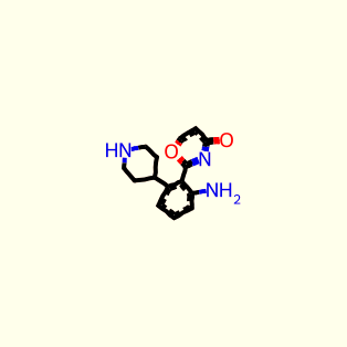 Nc1cccc(C2CCNCC2)c1-c1nc(=O)cco1